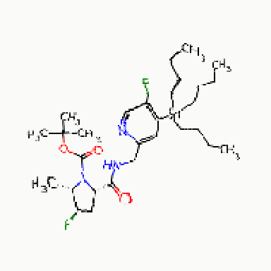 CCC[CH2][Sn]([CH2]CCC)([CH2]CCC)[c]1cc(CNC(=O)[C@@H]2C[C@@H](F)[C@H](C)N2C(=O)OC(C)(C)C)ncc1F